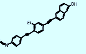 CCc1cc(C#Cc2ccc3cc(O)ccc3c2)ccc1C#Cc1ccc(N=C=S)cc1